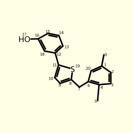 Cc1ccc(C)c(Cc2ccc(-c3cccc(O)c3)s2)c1